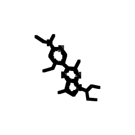 CCc1cc(N(C)CC)ncc1-c1nc2c(C)cn(C(CC)CC)c2nc1C